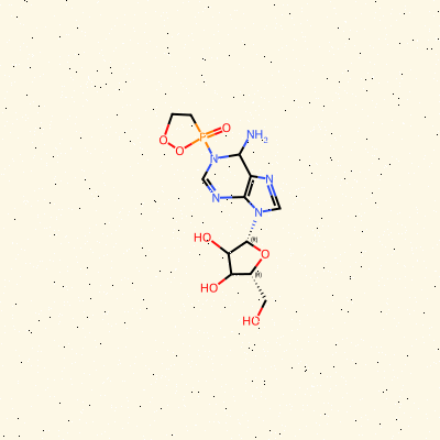 NC1c2ncn([C@@H]3O[C@H](CO)C(O)C3O)c2N=CN1P1(=O)CCOO1